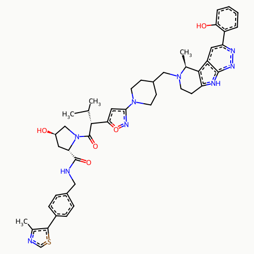 Cc1ncsc1-c1ccc(CNC(=O)[C@@H]2C[C@@H](O)CN2C(=O)[C@@H](c2cc(N3CCC(CN4CCc5[nH]c6nnc(-c7ccccc7O)cc6c5[C@@H]4C)CC3)no2)C(C)C)cc1